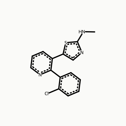 CNc1ncc(-c2cccnc2-c2ccccc2Cl)s1